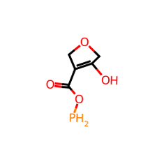 O=C(OP)C1=C(O)COC1